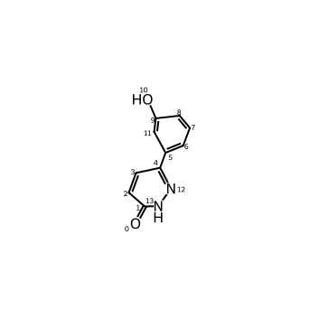 O=c1ccc(-c2cccc(O)c2)n[nH]1